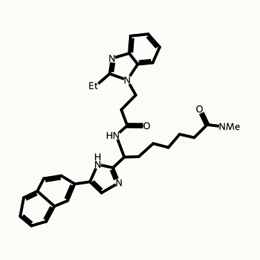 CCc1nc2ccccc2n1CCC(=O)NC(CCCCCC(=O)NC)c1ncc(-c2ccc3ccccc3c2)[nH]1